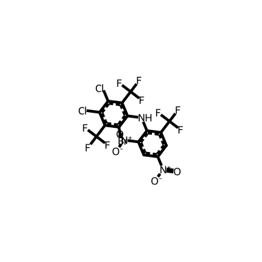 O=[N+]([O-])c1cc([N+](=O)[O-])c(Nc2c(Br)c(C(F)(F)F)c(Cl)c(Cl)c2C(F)(F)F)c(C(F)(F)F)c1